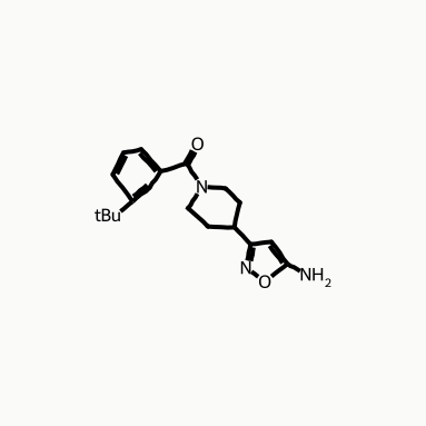 CC(C)(C)c1cccc(C(=O)N2CCC(c3cc(N)on3)CC2)c1